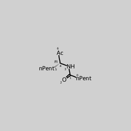 CCCCCC(=O)N[C@H](CCCCC)C(C)=O